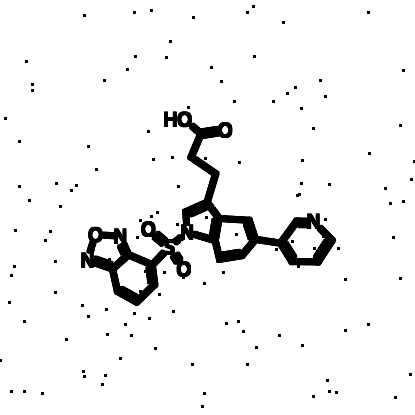 O=C(O)CCc1cn(S(=O)(=O)c2cccc3nonc23)c2ccc(-c3cccnc3)cc12